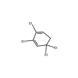 CCC1=CCC(CC)(CC)C=C1CC